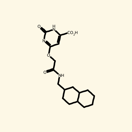 O=C(COc1cc(C(=O)O)[nH]c(=O)n1)NCC1CCC2CCCCC2C1